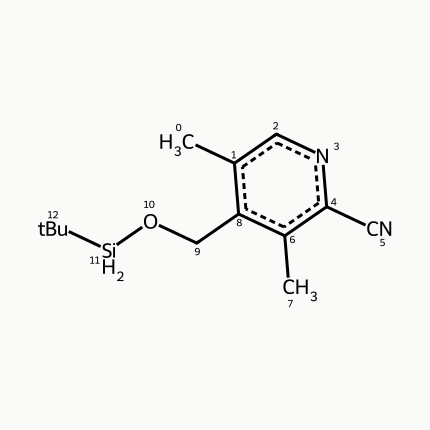 Cc1cnc(C#N)c(C)c1CO[SiH2]C(C)(C)C